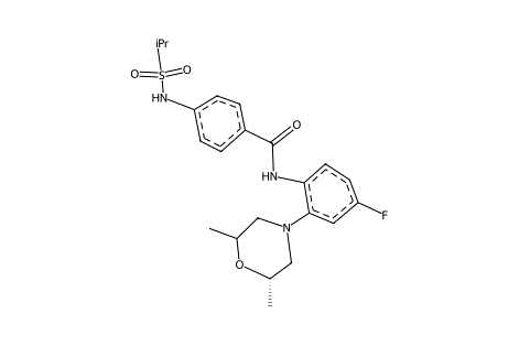 CC1CN(c2cc(F)ccc2NC(=O)c2ccc(NS(=O)(=O)C(C)C)cc2)C[C@H](C)O1